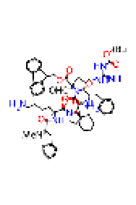 CN[C@@H](Cc1ccccc1)C(=O)N[C@@H](CCCCN)C(=O)N1CCC[C@H]1C(=O)N[C@@H](Cc1ccccc1)C(=O)N(C(=O)[C@H](N)CC1CCCCC1)[C@]([C]=O)(CCCNC(=N)NC(=O)OC(C)(C)C)C(=O)OCC1c2ccccc2-c2ccccc21